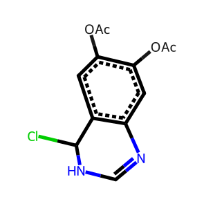 CC(=O)Oc1cc2c(cc1OC(C)=O)C(Cl)NC=N2